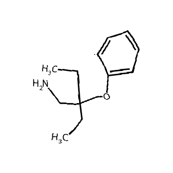 CCC(CC)(CN)Oc1[c]cccc1